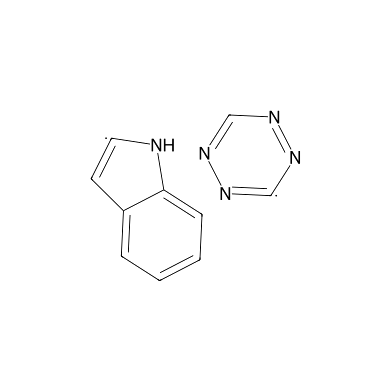 [c]1cc2ccccc2[nH]1.[c]1nncnn1